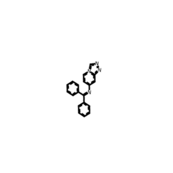 c1ccc(C(=Nc2ccn3cnnc3c2)c2ccccc2)cc1